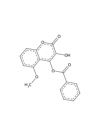 COc1cccc2oc(=O)c(O)c(OC(=O)c3ccccc3)c12